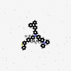 Cc1cc(-c2ccc3sc4ccccc4c3c2)ccc1-c1ccc(N(c2ccc(-c3ccc4c5ccccc5c5ccccc5c4c3)cc2)c2ccc3c(c2)C(C)(C)c2cc(N(c4ccccc4)c4ccccc4)ccc2-3)cc1C